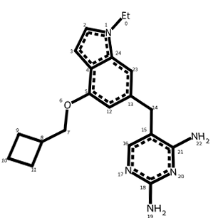 CCn1ccc2c(OCC3CCC3)cc(Cc3cnc(N)nc3N)cc21